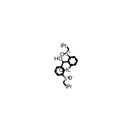 CC(C)C[S+]([O-])c1cccc(C(O)c2c(C=O)cccc2[S+]([O-])CC(C)C)c1